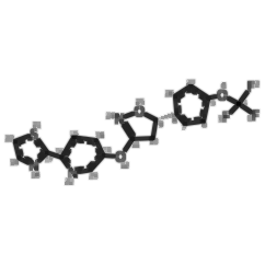 FC(F)(F)Oc1ccc([C@@H]2CC(Oc3ccc(-c4nccs4)nc3)=NO2)cc1